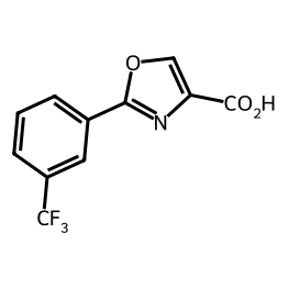 O=C(O)c1coc(-c2cccc(C(F)(F)F)c2)n1